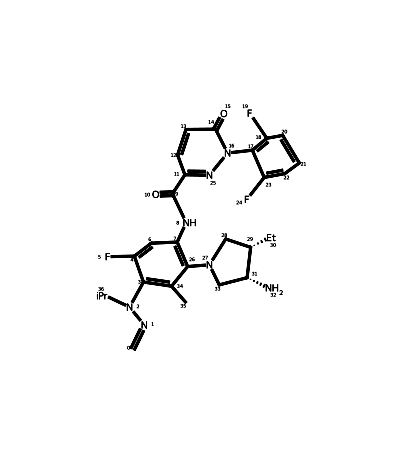 C=NN(c1c(F)cc(NC(=O)c2ccc(=O)n(-c3c(F)cccc3F)n2)c(N2C[C@H](CC)[C@H](N)C2)c1C)C(C)C